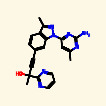 Cc1cc(-n2nc(C)c3ccc(C#CC(C)(O)c4ncccn4)cc32)nc(N)n1